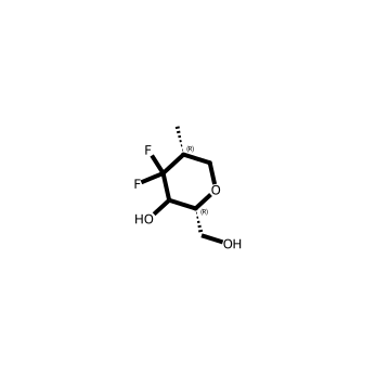 C[C@@H]1CO[C@H](CO)C(O)C1(F)F